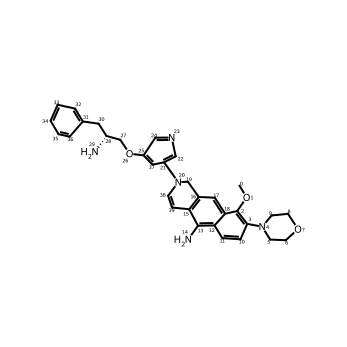 COc1c(N2CCOCC2)ccc2c(N)c3c(cc12)CN(c1cncc(OC[C@H](N)Cc2ccccc2)c1)C=C3